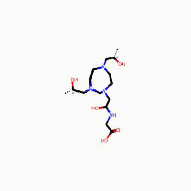 C[C@H](O)CN1CCN(CC(O)NCC(=O)O)CN(C[C@H](C)O)CC1